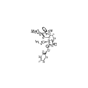 COc1cc2c(cc1OC)-c1c(C)c(OCc3ccccc3)cc(Cl)[n+]1CC2